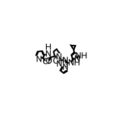 C[C@@]1(C(=O)Nc2cccnc2Cl)CCCN1c1nc(Nc2cc(C3CC3)[nH]n2)n2cccc2n1